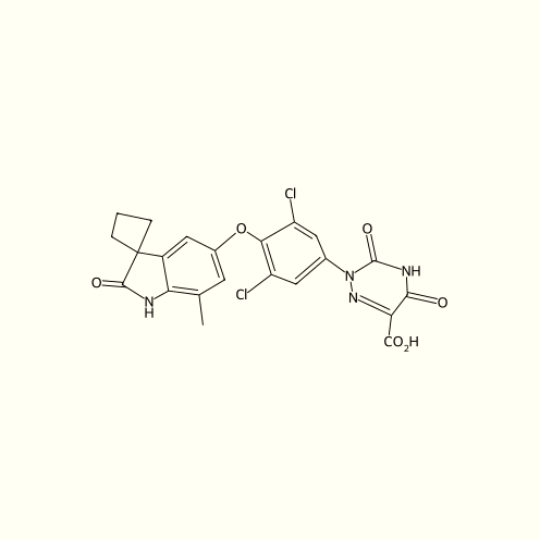 Cc1cc(Oc2c(Cl)cc(-n3nc(C(=O)O)c(=O)[nH]c3=O)cc2Cl)cc2c1NC(=O)C21CCC1